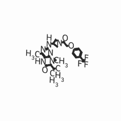 Cc1nc(NC2CN(C(=O)COc3ccc(C(F)(F)F)cc3)C2)nc2c1NC(=O)C(C(C)C)N2C